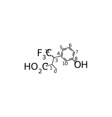 CC(C(=O)O)[C@H](c1cccc(O)c1)C(F)(F)F